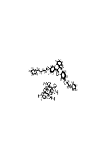 O.O=C(O)C(=O)O.O=C(O)C(=O)O.O=C(c1ccc(OCCCCN2CCCC2)cc1)c1c(-c2ccc(OCCN3CCCC3)cc2)sc2ccccc12